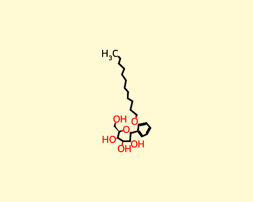 CCCCCCCCCCCCOc1ccccc1[C]1O[C@H](CO)[C@@H](O)[C@H](O)[C@H]1O